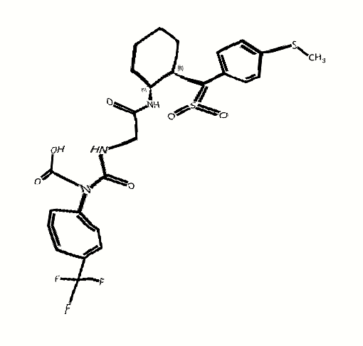 CSc1ccc(C([C@@H]2CCCC[C@@H]2NC(=O)CNC(=O)N(C(=O)O)c2ccc(C(F)(F)F)cc2)=S(=O)=O)cc1